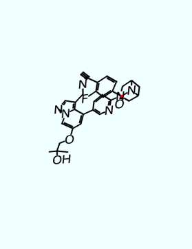 C#Cc1ccc(C(=O)N2C3CC2CN(c2ccc(-c4cc(OCC(C)(C)O)cn5ncc(CN=C)c45)cn2)C3)cc1F